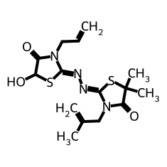 C=CCN1C(=O)C(O)SC1=NN=C1SC(C)(C)C(=O)N1CC(=C)C